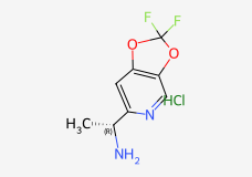 C[C@@H](N)c1cc2c(cn1)OC(F)(F)O2.Cl